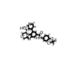 O=C(Nc1ccc(OC(F)(F)Cl)cc1)c1cc(-c2ccnnc2)c2c(c1)nc1n2[C@H](CO)COC1